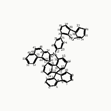 c1ccc2c(c1)-c1ccccc1C21c2ccccc2-c2c(N(c3ccc(-c4cccc5c4sc4ccccc45)cc3)c3ccc4c(ccc5ccccc54)c3)cccc21